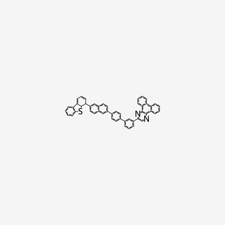 C1=CC(c2ccc3cc(-c4ccc(-c5cccc(-c6cnc7c8ccccc8c8ccccc8c7n6)c5)cc4)ccc3c2)C2Sc3ccccc3C2=C1